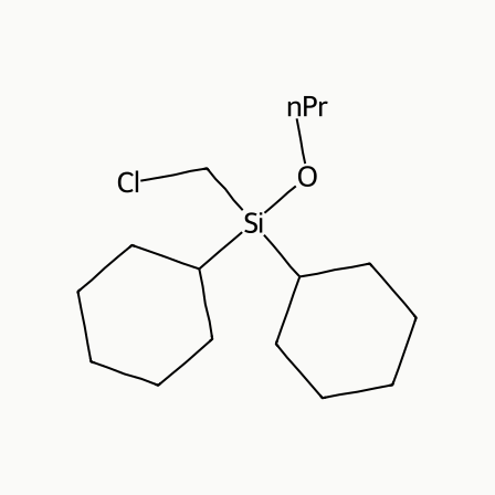 CCCO[Si](CCl)(C1CCCCC1)C1CCCCC1